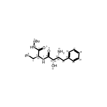 CCCCNC(=O)[C@H](CC(C)C)NC(=O)[C@@H](O)[C@H](N)Cc1ccccc1